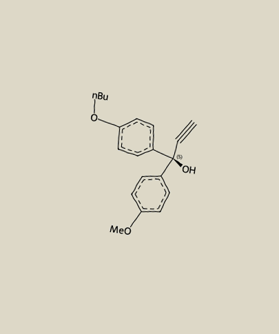 C#C[C@](O)(c1ccc(OC)cc1)c1ccc(OCCCC)cc1